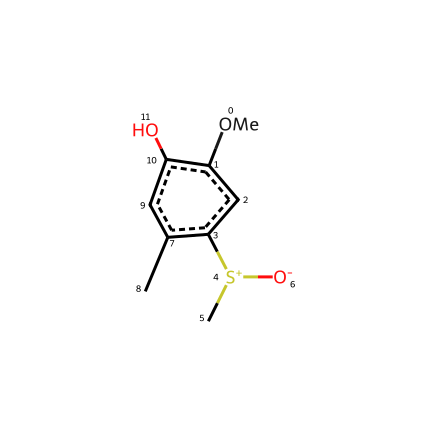 COc1cc([S+](C)[O-])c(C)cc1O